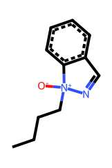 CCCC[N+]1([O-])N=Cc2ccccc21